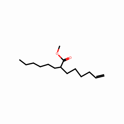 C=CCCCCC(CCCCCC)C(=O)OC